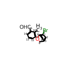 Brc1cc2ccc1OC2.Cc1ccccc1C=O